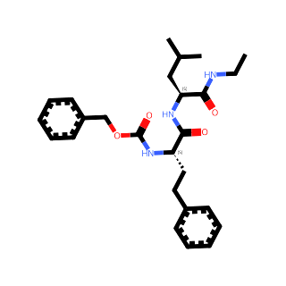 CCNC(=O)[C@H](CC(C)C)NC(=O)[C@H](CCc1ccccc1)NC(=O)OCc1ccccc1